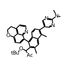 CC(=O)C(OC(C)(C)C)c1c(C)cc2c(C)c(-c3cnc(N(C)C)nc3)ccc2c1-c1ccc2c3c(ccnc13)CCO2